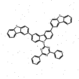 c1ccc(-c2nc(-c3ccccc3)nc(-n3c4ccc(-c5ccc6sc7ccccc7c6c5)cc4c4cc(-c5ccc6sc7ccccc7c6c5)ccc43)n2)cc1